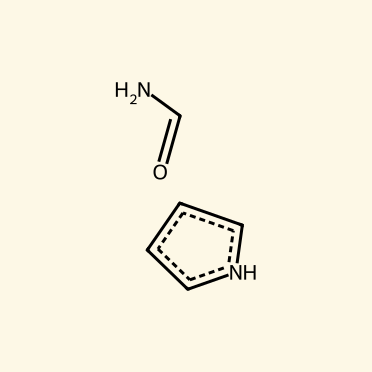 NC=O.c1cc[nH]c1